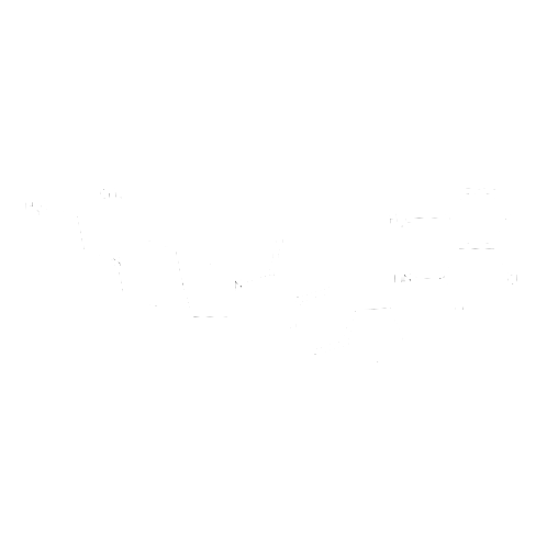 Cc1cccc(Cl)c1C(=O)NC1CCc2ccc(C(=O)N3CCC4(CCN(CC(C)C)CC4)C3)cc21